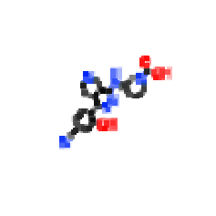 N#Cc1ccc(-c2nnc(N[C@@H]3CCCN(C(=O)O)C3)c3cnccc23)c(O)c1